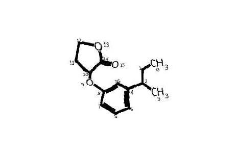 CCC(C)c1cccc(OC2CCOC2=O)c1